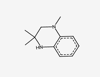 CN1CC(C)(C)Nc2ccccc21